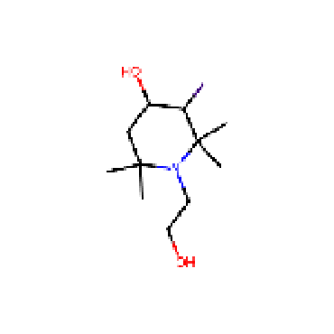 CC1(C)CC(O)C(I)C(C)(C)N1CCO